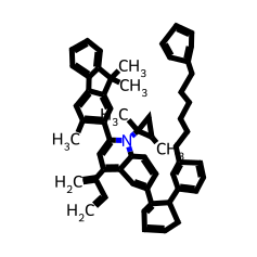 C=CC(=C)C1=C2C=C(C3=CC=CCC3c3cccc(CCCCCCc4ccccc4)c3)C=CC2N(C2(C)CC2C)C(c2cc3c(cc2C)-c2ccccc2C3(C)C)=C1